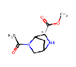 BC(=O)N1CC2CC1[C@H](C(=O)OC)N2